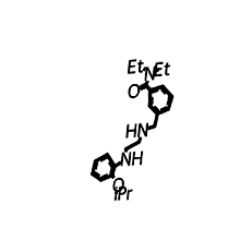 CCN(CC)C(=O)c1cccc(CNCCNc2ccccc2OC(C)C)c1